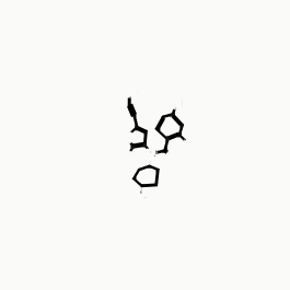 CC(C)(C)C#Cc1cc(N(C(=O)c2ccc(Cl)cc2F)[C@H]2CC[C@H](O)CC2)c(C(=O)O)s1